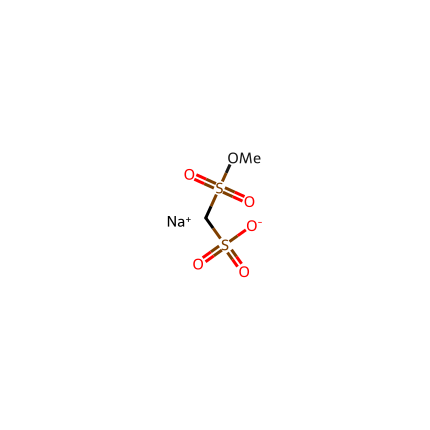 COS(=O)(=O)CS(=O)(=O)[O-].[Na+]